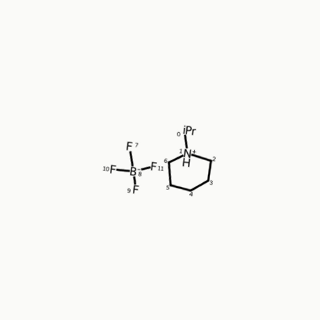 CC(C)[NH+]1CCCCC1.F[B-](F)(F)F